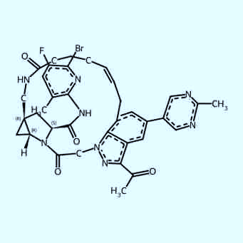 CC(=O)c1nn2c3c(cc(-c4cnc(C)nc4)cc13)CC=CCCCC(=O)NC[C@@]13C[C@@H](C(=O)Nc4nc(Br)c(F)cc4C)N(C(=O)C2)[C@@H]1C3